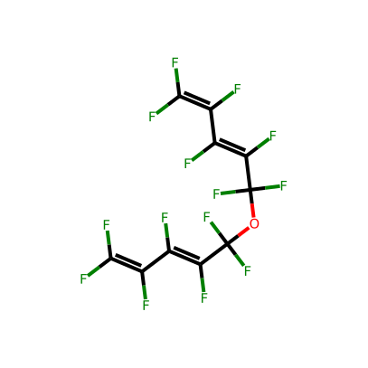 FC(F)=C(F)C(F)=C(F)C(F)(F)OC(F)(F)C(F)=C(F)C(F)=C(F)F